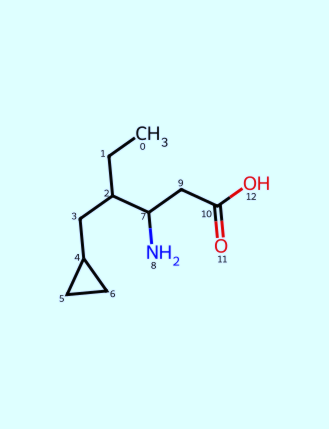 CCC(CC1CC1)C(N)CC(=O)O